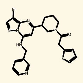 O=C(Cc1cccs1)N1CCCC(c2cc(NCc3cccnc3)n3ncc(Br)c3n2)C1